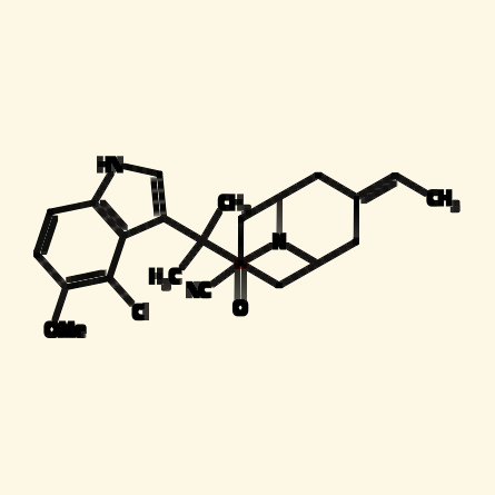 CC=C1CC2CC(C#N)CC(C1)N2C(=O)C(C)(C)c1c[nH]c2ccc(OC)c(Cl)c12